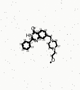 COCCN1CCN(Cc2ccc3c(=O)[nH]c(-c4ccccc4)nc3c2)CC1